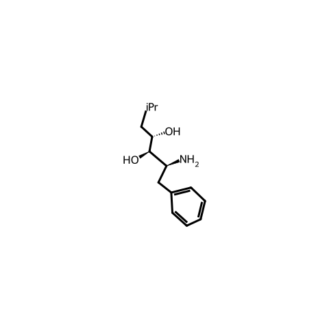 CC(C)C[C@H](O)[C@H](O)[C@@H](N)Cc1ccccc1